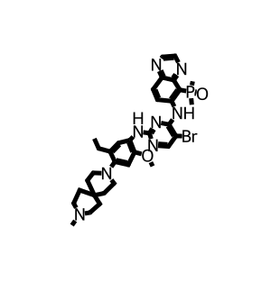 CCc1cc(Nc2ncc(Br)c(Nc3ccc4nccnc4c3P(C)(C)=O)n2)c(OC)cc1N1CCC2(CCN(C)CC2)CC1